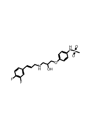 CS(=O)(=O)Nc1ccc(OCC(O)CNC/C=C/c2ccc(F)c(F)c2)cc1